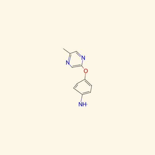 Cc1cnc(Oc2ccc([NH])cc2)cn1